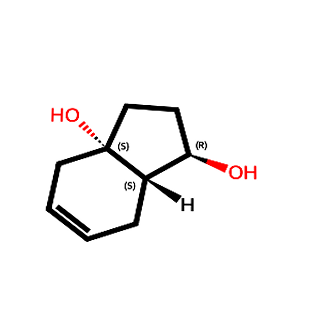 O[C@@H]1CC[C@]2(O)CC=CC[C@@H]12